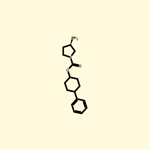 N[C@@H]1CCN(C(=O)OC2CCC(c3ccccc3)CC2)C1